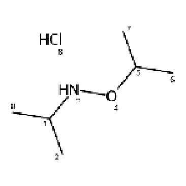 CC(C)NOC(C)C.Cl